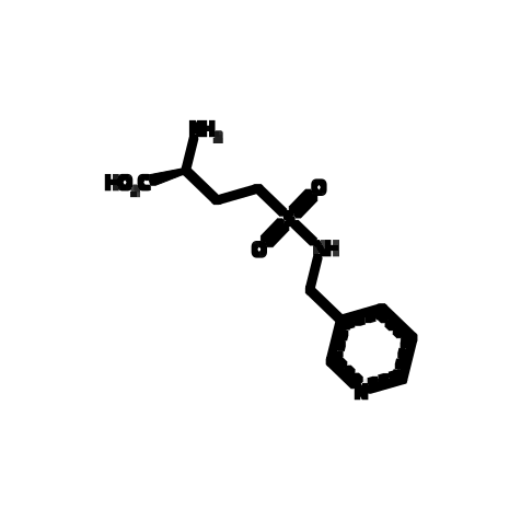 N[C@@H](CCS(=O)(=O)NCc1cccnc1)C(=O)O